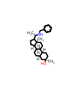 C[C@H](NCc1ccccc1)C1CC[C@H]2[C@@H]3CC[C@@H]4C[C@](C)(O)CC[C@@H]4[C@H]3CC[C@]12C